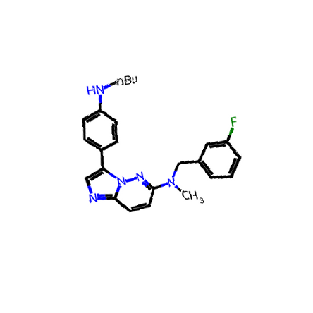 CCCCNc1ccc(-c2cnc3ccc(N(C)Cc4cccc(F)c4)nn23)cc1